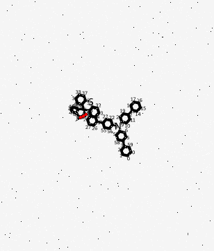 c1ccc(-c2ccc(N(c3ccc(-c4ccccc4)cc3)c3ccc(-c4cccc5c6c(ccc45)Sc4ccccc4C64c5ccccc5-c5ccccc54)cc3)cc2)cc1